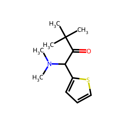 CN(C)C(C(=O)C(C)(C)C)c1cccs1